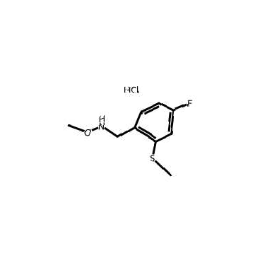 CONCc1ccc(F)cc1SC.Cl